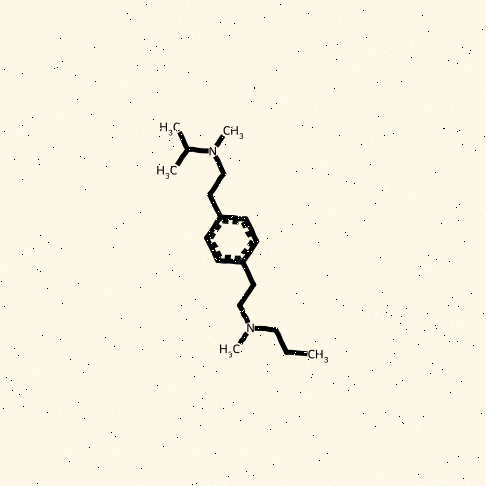 CCCN(C)CCc1ccc(CCN(C)C(C)C)cc1